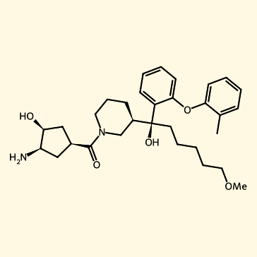 COCCCCC[C@@](O)(c1ccccc1Oc1ccccc1C)[C@@H]1CCCN(C(=O)[C@H]2C[C@@H](N)[C@@H](O)C2)C1